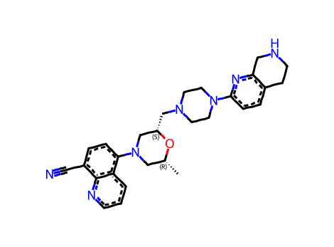 C[C@@H]1CN(c2ccc(C#N)c3ncccc23)C[C@H](CN2CCN(c3ccc4c(n3)CNCC4)CC2)O1